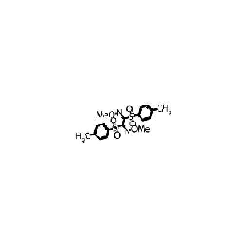 CO/N=C(\C(=N/OC)S(=O)(=O)c1ccc(C)cc1)S(=O)(=O)c1ccc(C)cc1